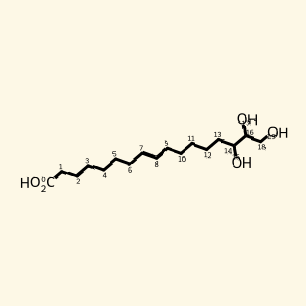 O=C(O)CCCCCCCCCCCCCC(O)C(O)CO